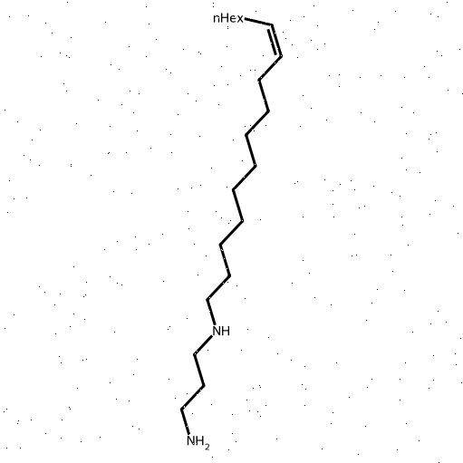 CCCCCC/C=C\CCCCCCCCCNCCCN